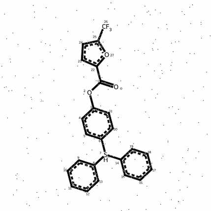 O=C(Oc1ccc([SH](c2ccccc2)c2ccccc2)cc1)c1ccc(C(F)(F)F)o1